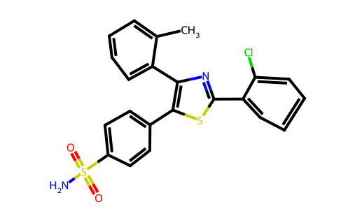 Cc1ccccc1-c1nc(-c2ccccc2Cl)sc1-c1ccc(S(N)(=O)=O)cc1